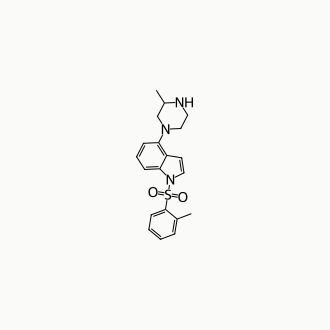 Cc1ccccc1S(=O)(=O)n1ccc2c(N3CCNC(C)C3)cccc21